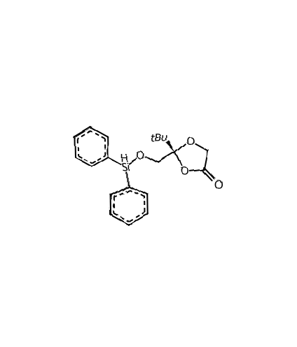 CC(C)(C)[C@@]1(CO[SiH](c2ccccc2)c2ccccc2)OCC(=O)O1